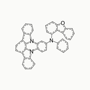 c1ccc(N(c2ccc3c(c2)n2c4ccccc4c4ccc5c6ccccc6n3c5c42)c2cccc3oc4ccccc4c23)cc1